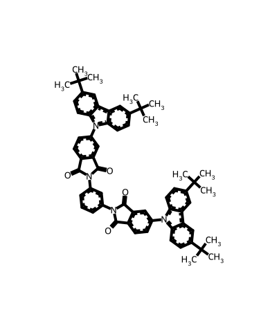 CC(C)(C)c1ccc2c(c1)c1cc(C(C)(C)C)ccc1n2-c1ccc2c(c1)C(=O)N(c1cccc(N3C(=O)c4ccc(-n5c6ccc(C(C)(C)C)cc6c6cc(C(C)(C)C)ccc65)cc4C3=O)c1)C2=O